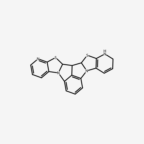 C1=CC2=C(NC1)SC1C3c4c(cccc4N4c5cccnc5SC34)N21